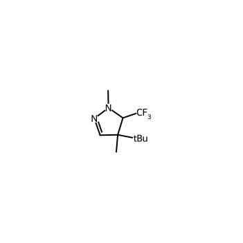 CN1N=CC(C)(C(C)(C)C)C1C(F)(F)F